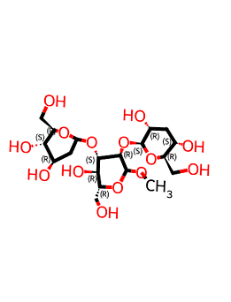 COC1O[C@H](CO)[C@@H](O)[C@H](OC2C[C@@H](O)[C@H](O)[C@@H](CO)O2)[C@H]1O[C@@H]1O[C@H](CO)[C@@H](O)C[C@H]1O